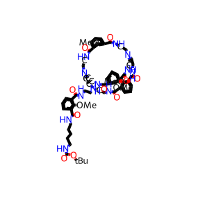 COc1c(C(=O)NCCCCCNC(=O)OC(C)(C)C)cccc1C(=O)NCCN1CCNC(=O)c2cccc(c2OC)C(=O)NCCN2CCNC(=O)c3cccc(c3OC)C(=O)NCCN(CCNC(=O)c3cccc(c3OC)C(=O)NCC2)CC1